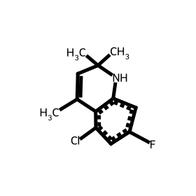 CC1=CC(C)(C)Nc2cc(F)cc(Cl)c21